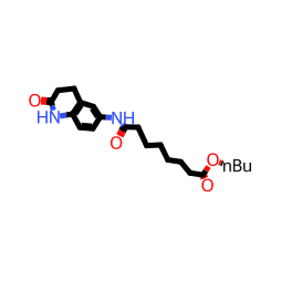 CCCCOC(=O)CCCCCCC(=O)Nc1ccc2c(c1)CCC(=O)N2